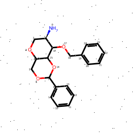 N[C@@H]1COC2COC(c3ccccc3)OC2C1OCc1ccccc1